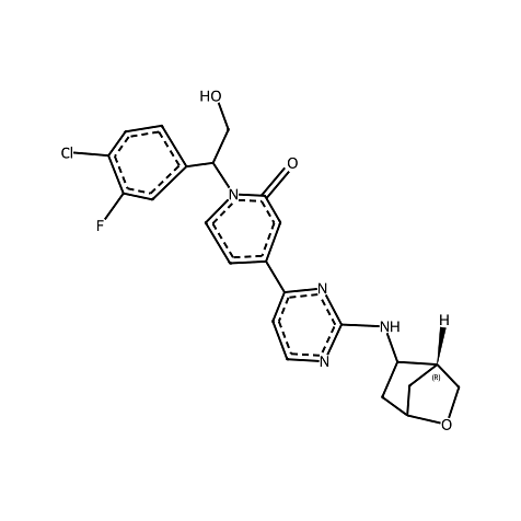 O=c1cc(-c2ccnc(NC3CC4C[C@H]3CO4)n2)ccn1C(CO)c1ccc(Cl)c(F)c1